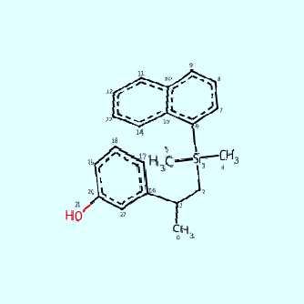 CC(C[Si](C)(C)c1cccc2ccccc12)c1cccc(O)c1